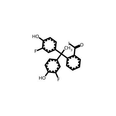 CC(c1ccc(O)c(F)c1)(c1ccc(O)c(F)c1)c1ccccc1C(=O)I